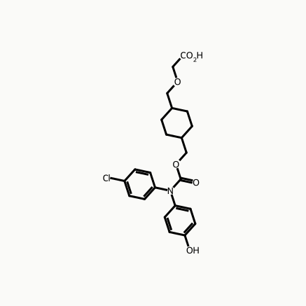 O=C(O)COCC1CCC(COC(=O)N(c2ccc(O)cc2)c2ccc(Cl)cc2)CC1